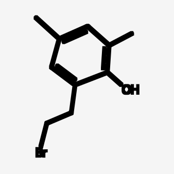 Cc1cc(C)c(O)c(CCBr)c1